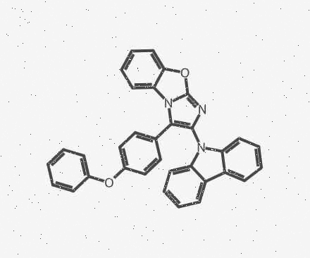 c1ccc(Oc2ccc(-c3c(-n4c5ccccc5c5ccccc54)nc4oc5ccccc5n34)cc2)cc1